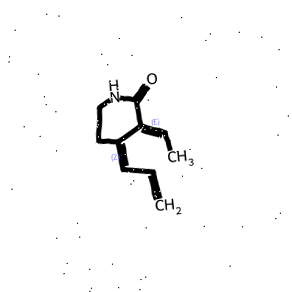 C=C/C=C1/CCNC(=O)/C1=C/C